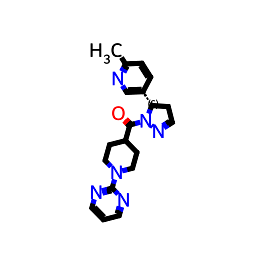 Cc1ccc([C@@H]2CC=NN2C(=O)C2CCN(c3ncccn3)CC2)cn1